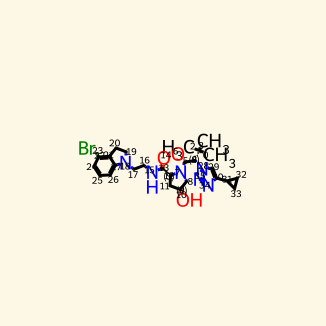 CC(C)(C)[C@@H](C(=O)N1C[C@H](O)C[C@H]1C(=O)NCCN1CCc2c(Br)cccc21)n1cc(C2CC2)nn1